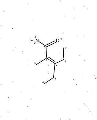 CCC(CC)=C(C)C(N)=O